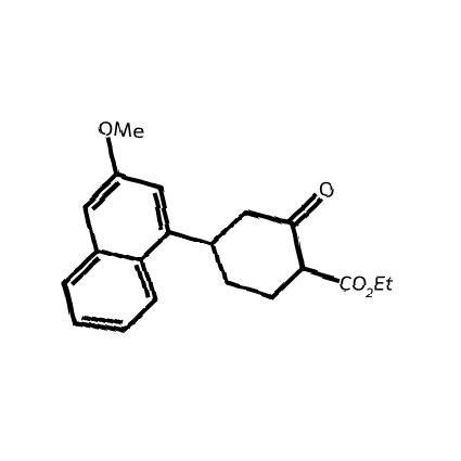 CCOC(=O)C1CCC(c2cc(OC)cc3ccccc23)CC1=O